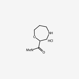 CNC(=O)C1CNCCCO1.Cl